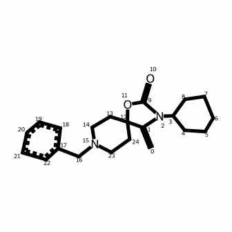 C=C1N(C2CCCCC2)C(=O)OC12CCN(Cc1ccccc1)CC2